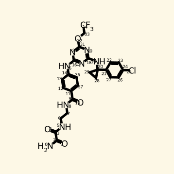 NC(=O)C(=O)NCCNC(=O)c1ccc(Nc2nc(NC3(c4ccc(Cl)cc4)CC3)nc(OCC(F)(F)F)n2)cc1